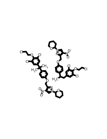 CC(C)(c1ccc(OCc2nn(C3CCCCO3)cc2[N+](=O)[O-])cc1)c1cc(Cl)c(OCCCl)c(Cl)c1.CC(Cc1cc(Cl)c(OCCCl)c(Cl)c1)c1ccc(OCc2nn(C3CCCCO3)cc2[N+](=O)[O-])cc1